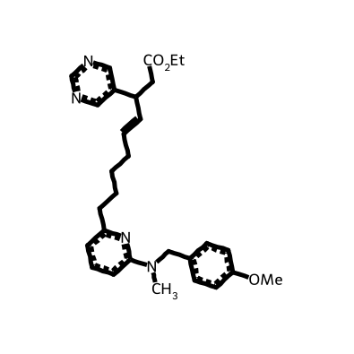 CCOC(=O)CC(C=CCCCCc1cccc(N(C)Cc2ccc(OC)cc2)n1)c1cncnc1